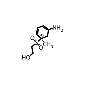 C[C@]1(S(=O)(=O)CCO)C=CC=C(N)C1